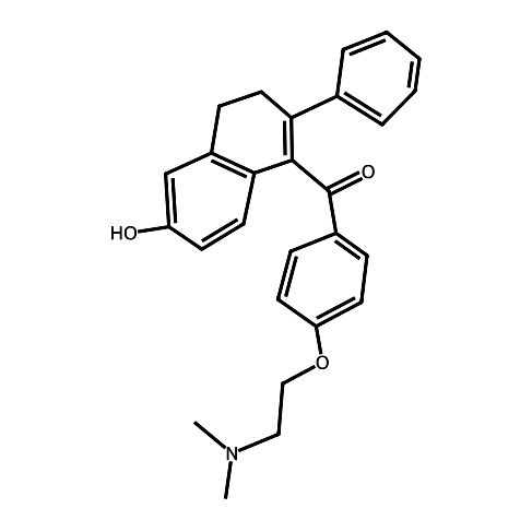 CN(C)CCOc1ccc(C(=O)C2=C(c3ccccc3)CCc3cc(O)ccc32)cc1